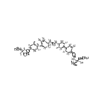 CCCCC(C)(C#N)COc1ccc(-c2ccc(COCc3ccc(-c4ccc(OCC(C)(C#N)CCCC)cc4)cc3)cc2)cc1